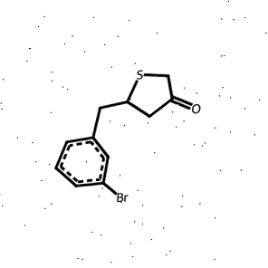 O=C1CSC(Cc2cccc(Br)c2)C1